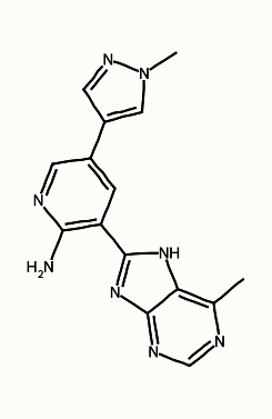 Cc1ncnc2nc(-c3cc(-c4cnn(C)c4)cnc3N)[nH]c12